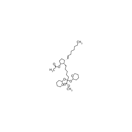 CCCCCCC=C[C@H]1CC[C@H](OC(C)=O)[C@@H]1CCCCCC(OC1CCCCO1)(OC1CCCCO1)C(=O)OC